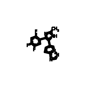 Cc1nc(-c2cc(F)c(F)cc2F)c(-c2ccc3ncnn3c2)[nH]1